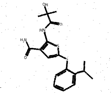 CC(C)c1ccccc1Sc1cc(C(N)=O)c(NC(=O)C(C)(C)O)s1